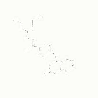 CCOC(CNC(=O)[C@H]1CC[C@@H](Oc2nc(Cl)cc3ncccc23)CC1)OCC